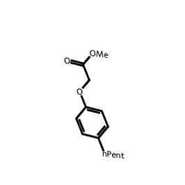 CCCCCc1ccc(OCC(=O)OC)cc1